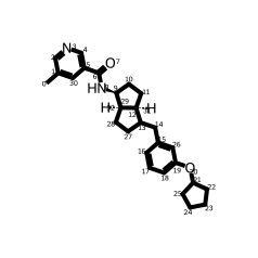 Cc1cncc(C(=O)N[C@H]2CC[C@H]3C(Cc4cccc(OC5CCCC5)c4)CC[C@@H]23)c1